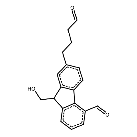 O=CCCCc1ccc2c(c1)C(CO)c1cccc(C=O)c1-2